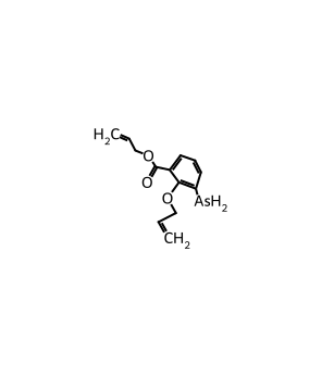 C=CCOC(=O)c1cccc([AsH2])c1OCC=C